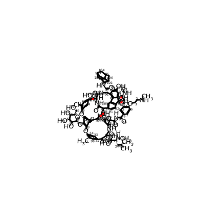 CNCCOc1ccc(C(=O)NC(=O)C[C@@H]2NC(=O)[C@H](NC(=O)[C@@H](CC(C)C)NC)[C@H](O)c3ccc(c(C)c3)Oc3cc4cc(c3O[C@@H]3O[C@H](CO)[C@@H](O)[C@H](O)[C@H]3O)Oc3ccc(cc3Cl)[C@@H](O)[C@@H]3NC(=O)[C@H](NC(=O)[C@@H]4NC2=O)c2ccc4c(c2)-c2c(cc(O)cc2C4(O)O)[C@@H](C(=O)NC2C4CC5CC(C4)CC2C5)NC3=O)cc1OCCNC